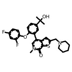 Cn1cc(-c2cc(C(C)(C)O)ccc2Oc2ccc(F)cc2F)c2cc(CN3CCCCC3)sc2c1=O